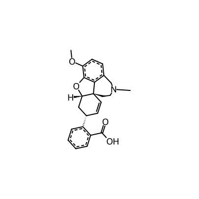 COc1ccc2c3c1O[C@H]1C[C@@H](c4ccccc4C(=O)O)C=C[C@@]31CCN(C)C2